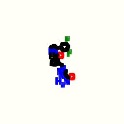 NC(=O)c1cn(CC2C[C@H](C(=O)N3N=CCC3c3cc(F)cc(F)c3)C3CC2C3)nn1